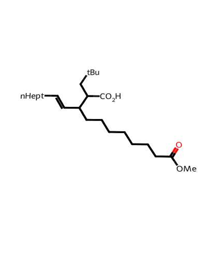 CCCCCCC/C=C/C(CCCCCCCC(=O)OC)C(CC(C)(C)C)C(=O)O